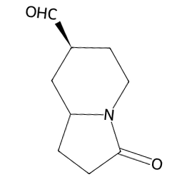 O=C[C@H]1CCN2C(=O)CCC2C1